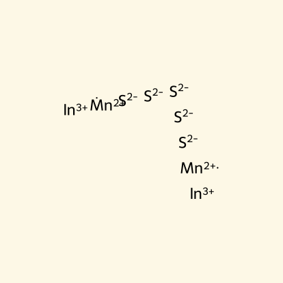 [In+3].[In+3].[Mn+2].[Mn+2].[S-2].[S-2].[S-2].[S-2].[S-2]